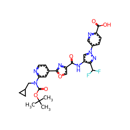 CC(C)(C)OC(=O)N(CC1CC1)c1cc(-c2nc(C(=O)Nc3cn(-c4ccc(C(=O)O)nc4)nc3C(F)F)co2)ccn1